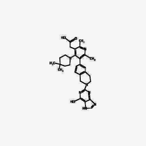 Cc1nc(C)c(-c2ccc3c(c2)CCN(c2nc(O)c4[nH]cnc4n2)C3)c(N2CCC(C)(C)CC2)c1CC(=O)O